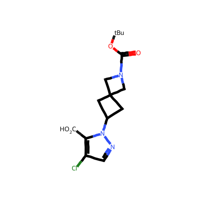 CC(C)(C)OC(=O)N1CC2(CC(n3ncc(Cl)c3C(=O)O)C2)C1